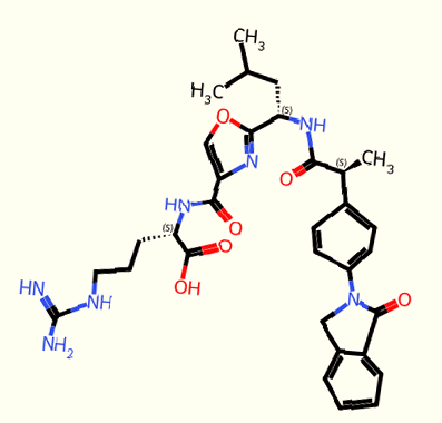 CC(C)C[C@H](NC(=O)[C@@H](C)c1ccc(N2Cc3ccccc3C2=O)cc1)c1nc(C(=O)N[C@@H](CCCNC(=N)N)C(=O)O)co1